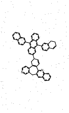 C1=Cc2ccc(-c3c4ccccc4c(-c4ccc5ccccc5c4)c4ccc(C5C=CC6=C(C5)c5ccncc5Cc5cc7ccccc7nc56)cc34)cc2CC1